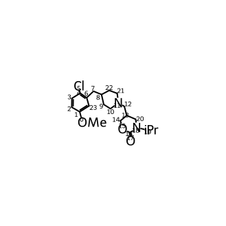 COc1ccc(Cl)c(CC2CCN(CC3COC(=O)N(C(C)C)C3)CC2)c1